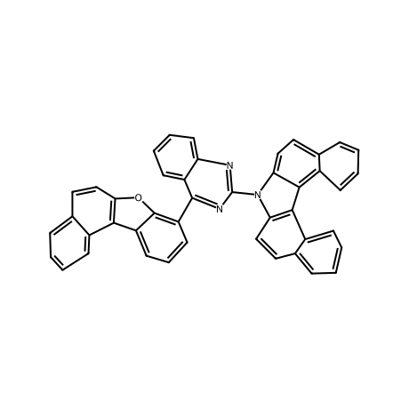 c1ccc2c(c1)ccc1oc3c(-c4nc(-n5c6ccc7ccccc7c6c6c7ccccc7ccc65)nc5ccccc45)cccc3c12